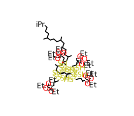 CCO[Si](CCCS(S)(SS)C(CC(C)CCCC(C)CCCCC(C)CCCC(C)CCCC(C)C)=C(C(C)=C(S(S)(CCC[Si](OCC)(OCC)OCC)SS)S(S)(CCC[Si](OCC)(OCC)OCC)SS)S(S)(CCC[Si](OCC)(OCC)OCC)SS)(OCC)OCC